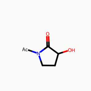 CC(=O)N1CCC(O)C1=O